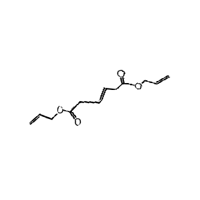 C=CCOC(=O)CC=CCC(=O)OCC=C